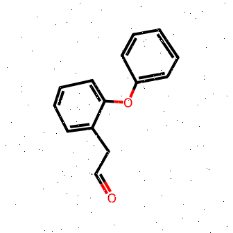 O=[C]Cc1ccccc1Oc1ccccc1